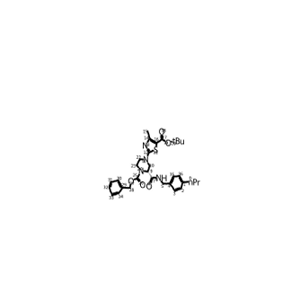 CCCc1ccc(CNC(=O)[C@H]2CN(c3nc(C)c(C(=O)OC(C)(C)C)s3)CCN2C(=O)OCc2ccccc2)cc1